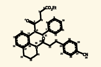 CCOC(=O)CCC(=O)N(Cc1ccccc1)c1cccc2c1N(C(=O)CCc1ccc(C#N)cc1)CCC2